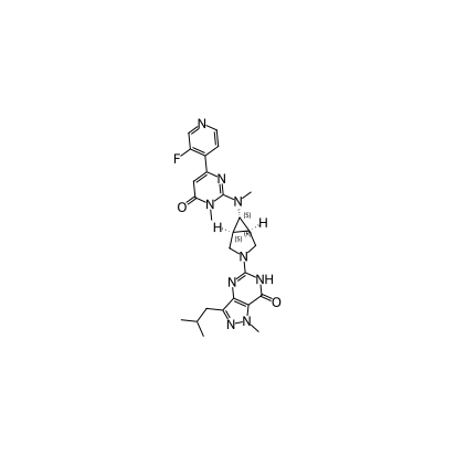 CC(C)Cc1nn(C)c2c(=O)[nH]c(N3C[C@@H]4[C@H](C3)[C@H]4N(C)c3nc(-c4ccncc4F)cc(=O)n3C)nc12